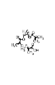 C=C(C)C(=O)O.C=C(C)C(=O)OCC(C)OC(=O)C(=C)C